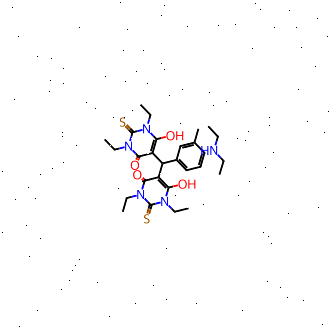 CCNCC.CCn1c(O)c(C(c2cccc(C)c2)c2c(O)n(CC)c(=S)n(CC)c2=O)c(=O)n(CC)c1=S